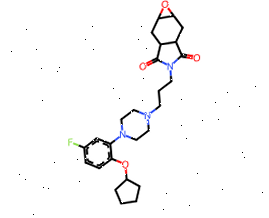 O=C1C2CC3OC3CC2C(=O)N1CCCN1CCN(c2cc(F)ccc2OC2CCCC2)CC1